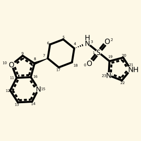 O=S(=O)(N[C@H]1CC[C@H](c2coc3cccnc32)CC1)c1c[nH]cn1